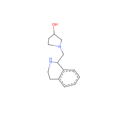 OC1CCN(CC2NCCc3ccccc32)C1